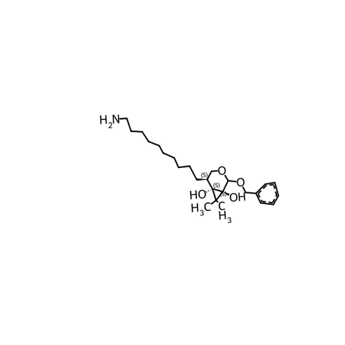 CC1(C)[C@@]2(O)C(OCc3ccccc3)OC[C@H](CCCCCCCCCCN)[C@]12O